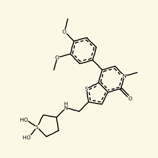 COc1ccc(-c2cn(C)c(=O)c3cc(CNC4CCS(O)(O)C4)sc23)cc1OC